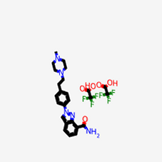 CN1CCN(CCc2ccc(-n3cc4cccc(C(N)=O)c4n3)cc2)CC1.O=C(O)C(F)(F)F.O=C(O)C(F)(F)F